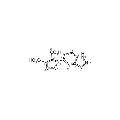 O=C(O)c1nnn(-c2ccc3[nH]nnc3n2)c1C(=O)O